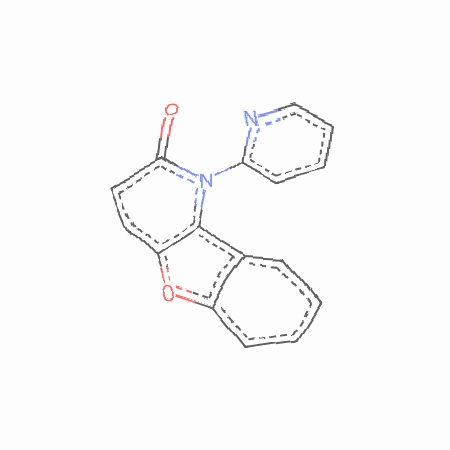 O=c1ccc2oc3ccccc3c2n1-c1ccccn1